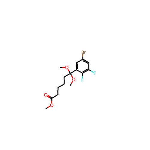 COC(=O)CCCCC(OC)(OC)c1cc(Br)cc(F)c1F